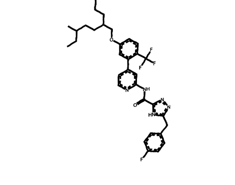 CCCC(CCC(C)CC)COc1ccc(C(F)(F)F)c(-c2ccnc(NC(=O)c3nnc(Cc4ccc(F)cc4)[nH]3)c2)c1